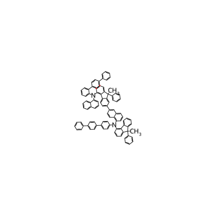 CC1(c2ccccc2)c2ccccc2-c2c(N(c3ccc(-c4ccc(-c5ccccc5)cc4)cc3)c3cccc4cc(-c5ccc6c(c5)C(C)(c5ccccc5)c5cccc(N(c7ccccc7-c7ccc(-c8ccccc8)cc7)c7cccc8ccccc78)c5-6)ccc34)cccc21